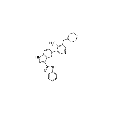 Cc1c(CN2CCOCC2)cncc1-c1ccc2[nH]nc(-c3nc4ccccc4[nH]3)c2c1